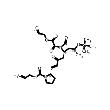 C=CCOC(=O)C(=O)N1C(=O)[C@H]([C@@H](C)O[Si](C)(C)C)[C@H]1CC(=O)C=C[C@@H]1CCCN1C(=O)OCC=C